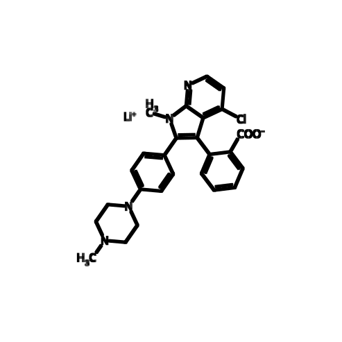 CN1CCN(c2ccc(-c3c(-c4ccccc4C(=O)[O-])c4c(Cl)ccnc4n3C)cc2)CC1.[Li+]